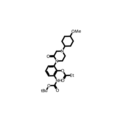 CCC(=O)Oc1c(NC(=O)OC(C)(C)C)cccc1N1CCN(C2CCC(OC)CC2)CC1=O